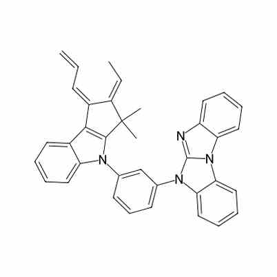 C=C/C=C1\C(=C/C)C(C)(C)c2c1c1ccccc1n2-c1cccc(-n2c3ccccc3n3c4ccccc4nc23)c1